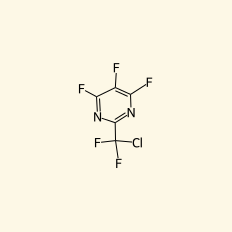 Fc1nc(C(F)(F)Cl)nc(F)c1F